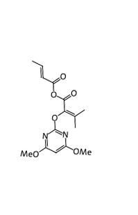 CC=CC(=O)OC(=O)C(Oc1nc(OC)cc(OC)n1)=C(C)C